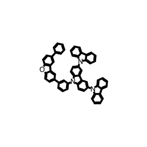 c1ccc(-c2ccc3oc4ccc(-c5cccc(-n6c7ccc(-n8c9ccccc9c9ccccc98)cc7c7cc(-n8c9ccccc9c9ccccc98)ccc76)c5)cc4c3c2)cc1